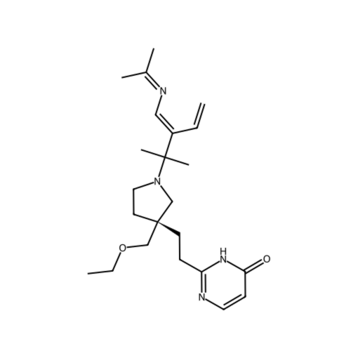 C=C/C(=C\N=C(C)C)C(C)(C)N1CC[C@@](CCc2nccc(=O)[nH]2)(COCC)C1